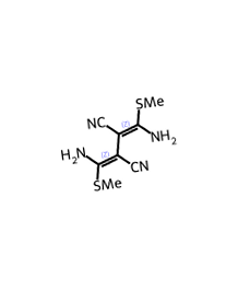 CS/C(N)=C(C#N)/C(C#N)=C(\N)SC